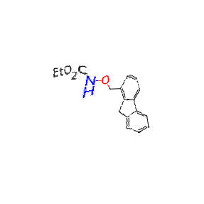 CCOC(=O)NOCc1cccc2c1Cc1ccccc1-2